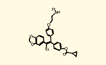 CCNCCOc1ccc(/C(=C(/CC)c2ccc3c(c2)OCO3)c2ccc(OC(=O)C3CC3)cc2)cc1